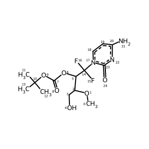 COC(CO)C(OC(=O)OC(C)(C)C)C(F)(F)n1ccc(N)nc1=O